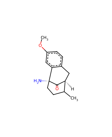 COc1ccc2c(c1)[C@]1(N)CCC(C)[C@H](C2)C1=O